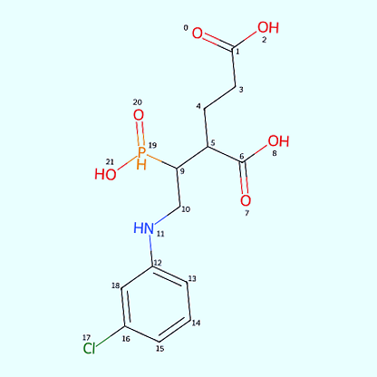 O=C(O)CCC(C(=O)O)C(CNc1cccc(Cl)c1)[PH](=O)O